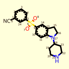 N#Cc1cccc(S(=O)(=O)c2ccc3c(c2)CCN3C2CCNCC2)c1